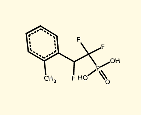 Cc1ccccc1C(F)C(F)(F)P(=O)(O)O